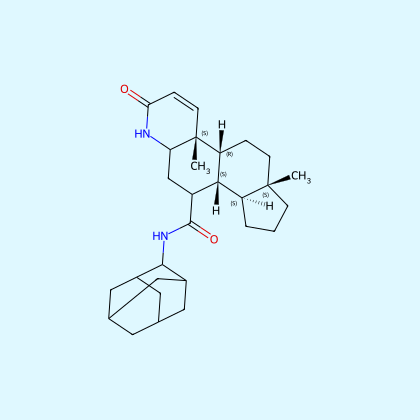 C[C@@]12CCC[C@H]1[C@@H]1C(C(=O)NC3C4CC5CC(C4)CC3C5)CC3NC(=O)C=C[C@]3(C)[C@@H]1CC2